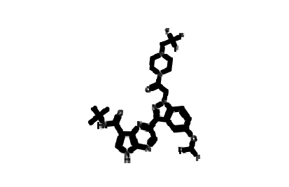 CC(C)(C)NC(=O)c1c[nH]c2ncc(-c3nn(CC(=O)N4CCN(CC(F)(F)F)CC4)c4ccc(OC(F)F)cc34)nc12